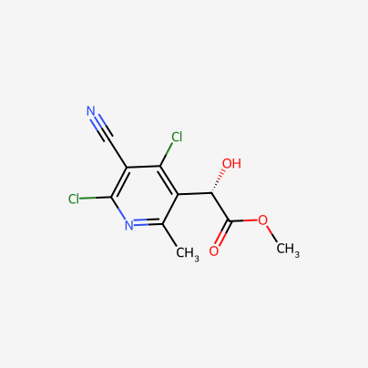 COC(=O)[C@@H](O)c1c(C)nc(Cl)c(C#N)c1Cl